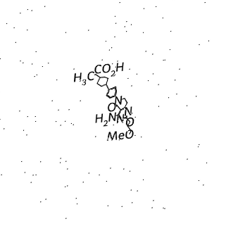 COCCOc1nc(N)c2c(n1)CCN(c1ccc(C3CCC(C(C)C(=O)O)CC3)cc1)C2=O